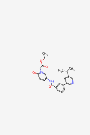 CCOC(=O)Cn1cc(NC(=O)c2cccc(-c3cncc(C(C)C)c3)c2)ccc1=O